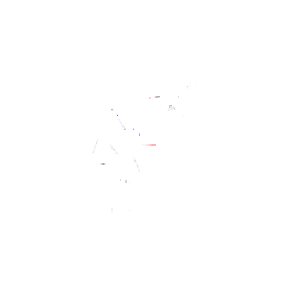 CCCCCCCCOc1ccc2c3c(cccc13)C(=N)N(OC[C@]13CCC1(C(C)C)CC3=O)C2=O